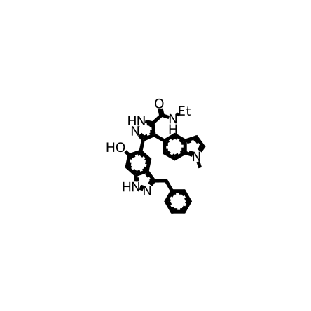 CCNC(=O)c1[nH]nc(-c2cc3c(Cc4ccccc4)n[nH]c3cc2O)c1-c1ccc2c(ccn2C)c1